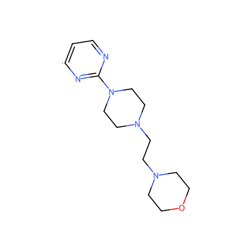 [c]1ccnc(N2CCN(CCN3CCOCC3)CC2)n1